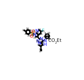 C#Cc1cc2c(NC3C4CCC(CC4)C3C(=O)OCC)nc(-c3cn(S(=O)(=O)c4ccc(C)cc4)c4ncc(F)cc34)nn2c1